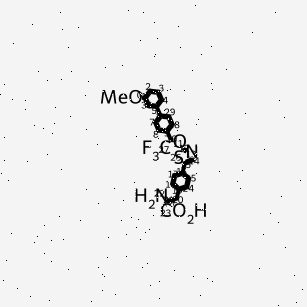 COc1cccc(-c2ccc(C(Oc3ncc(-c4ccc(C[C@H](N)C(=O)O)cc4)s3)C(F)(F)F)cc2)c1